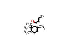 CC/C=C/C(=O)[C@@H]1C(C)=CC[C@@H](C)C1(C)C